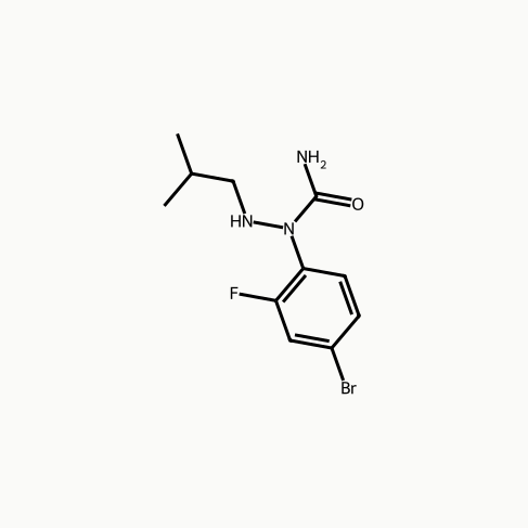 CC(C)CNN(C(N)=O)c1ccc(Br)cc1F